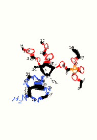 CCOP(=O)(CO[C@@H]1C(OCOC)[C@@](C)(OCOC)[C@H](n2cnc3c(N)ncnc32)[C@H]1C)OCC